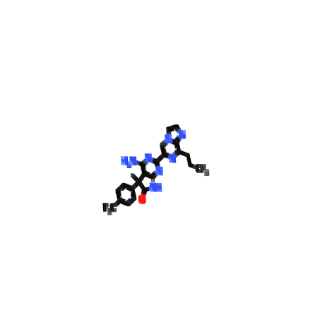 CC1(c2ccc(C(F)(F)F)cc2)C(=O)Nc2nc(-c3cn4ccnc4c(CCC(F)(F)F)n3)nc(N)c21